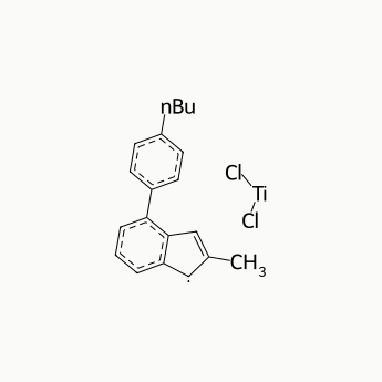 CCCCc1ccc(-c2cccc3c2C=C(C)[CH]3)cc1.[Cl][Ti][Cl]